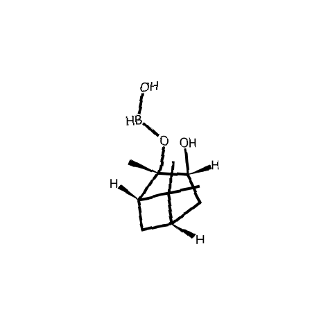 CC1(C)[C@@H]2C[C@@H](O)[C@@](C)(OBO)[C@H]1C2